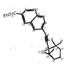 CCOC(=O)c1cnc2ccc(C#CC34OC3(C)CCCC4(C)C)cc2c1